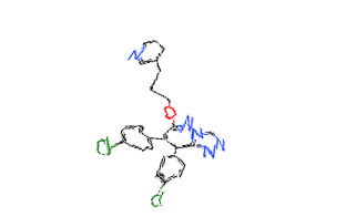 Clc1ccc(-c2c(OCCCc3cccnc3)nn3cnnc3c2-c2ccc(Cl)cc2)cc1